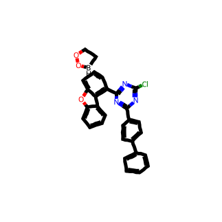 B1CCOO1.Clc1nc(-c2ccc(-c3ccccc3)cc2)nc(-c2cccc3oc4ccccc4c23)n1